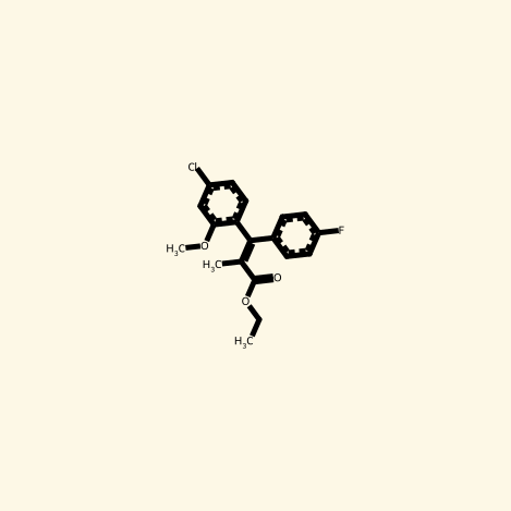 CCOC(=O)/C(C)=C(\c1ccc(F)cc1)c1ccc(Cl)cc1OC